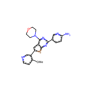 COc1ccncc1-c1cc2c(N3CCOCC3)nc(-c3ccc(N)nc3)nc2s1